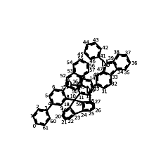 c1ccc(-c2ccc3c(c2)C2(c4ccccc4O3)c3ccccc3-c3cccc(N(c4ccc5c6ccccc6n(-c6ccccc6)c5c4)c4cccc5ccccc45)c32)cc1